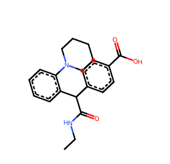 CCNC(=O)C(c1ccc(C(=O)O)cc1)c1ccccc1N1CCCCC1